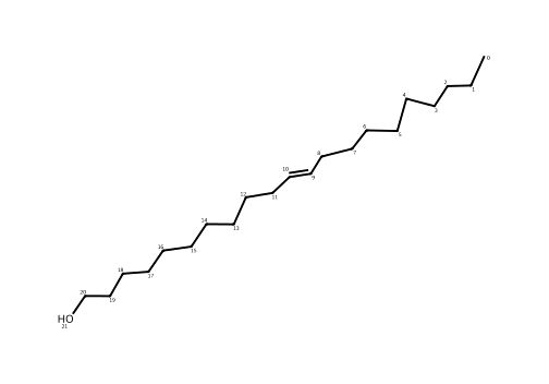 CCCCCCCCCC=CCCCCCCCCCCO